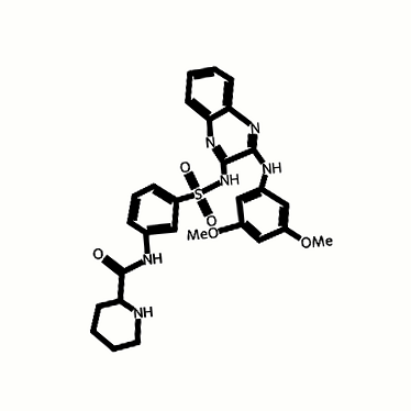 COc1cc(Nc2nc3ccccc3nc2NS(=O)(=O)c2cccc(NC(=O)C3CCCCN3)c2)cc(OC)c1